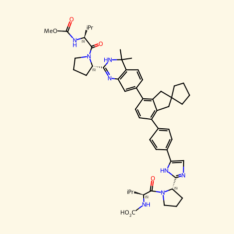 COC(=O)N[C@H](C(=O)N1CCC[C@H]1C1=Nc2cc(-c3ccc(-c4ccc(-c5cnc([C@@H]6CCCN6C(=O)[C@@H](NC(=O)O)C(C)C)[nH]5)cc4)c4c3CC3(CCCC3)C4)ccc2C(C)(C)N1)C(C)C